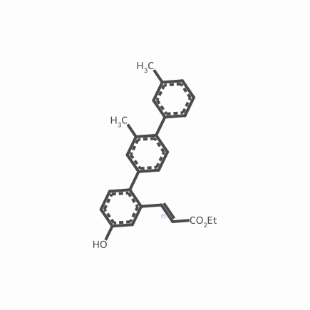 CCOC(=O)/C=C/c1cc(O)ccc1-c1ccc(-c2cccc(C)c2)c(C)c1